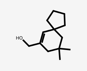 CC1(C)CC(CO)=CC2(CCCC2)C1